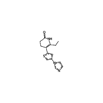 CCC1=C(c2cc(-n3ccnc3)cs2)CCC(=O)N1